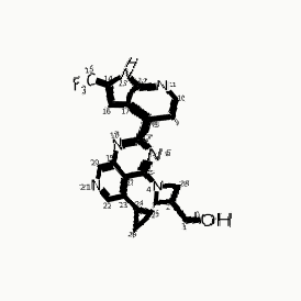 OCC1CN(c2nc(-c3ccnc4[nH]c(C(F)(F)F)cc34)nc3cncc(C4CC4)c23)C1